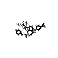 CC(C)(C)OC(=O)N1CCc2c3c(nn2-c2ccc(C4CC4)cc2)CCN(C(=O)OCc2ccccc2)CC31